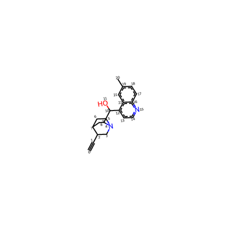 C#CC1CN2CCC1CC2C(O)c1ccnc2ccc(C)cc12